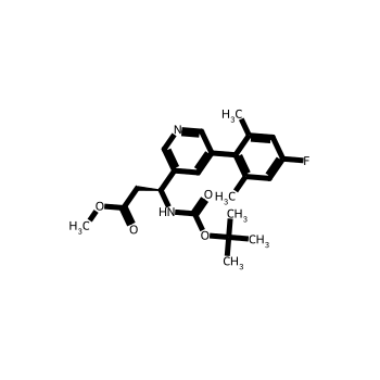 COC(=O)C[C@H](NC(=O)OC(C)(C)C)c1cncc(-c2c(C)cc(F)cc2C)c1